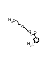 CCCCOC[CH]OOC(=O)c1cccc(C)c1